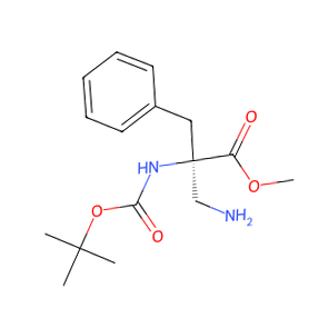 COC(=O)[C@](CN)(Cc1ccccc1)NC(=O)OC(C)(C)C